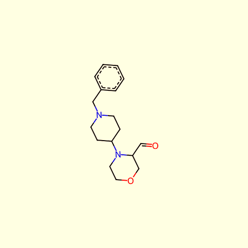 O=CC1COCCN1C1CCN(Cc2ccccc2)CC1